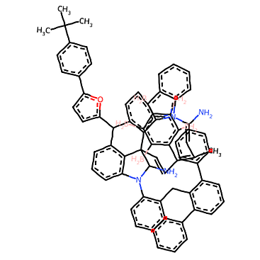 Bc1c(B)c(B)c(C2=C(C)\C=C(/N)n3c4ccccc4c4ccc5c(c43)C3(\C=C\2)c2c(cccc2N(c2ccccc2Cc2c(-c4ccccc4)cccc2-c2ccccc2)C3N)C5c2ccc(-c3ccc(C(C)(C)C)cc3)o2)c(B)c1B